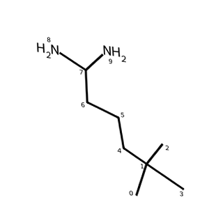 CC(C)(C)CCCC(N)N